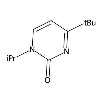 CC(C)n1ccc(C(C)(C)C)nc1=O